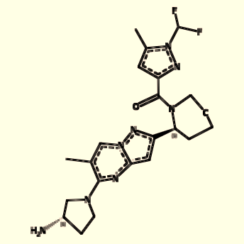 Cc1cn2nc([C@@H]3CCCCN3C(=O)c3cc(C)n(C(F)F)n3)cc2nc1N1CC[C@H](N)C1